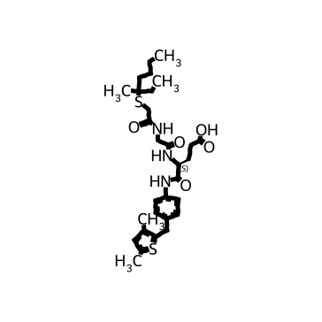 CCCCC(C)(CC)SCC(=O)NCC(=O)N[C@@H](CCC(=O)O)C(=O)Nc1ccc(Cc2sc(C)cc2C)cc1